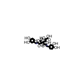 O=C(O)[C@@H](O)[C@@H](O)[C@@](O)(C(=O)/C=C/c1ccc(O)c(O)c1)[C@@](O)(C(=O)O)C(=O)/C=C/c1ccc(O)c(O)c1